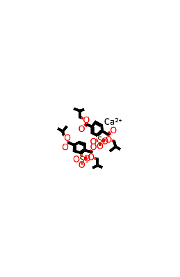 CC(C)COC(=O)c1ccc(C(=O)OCC(C)C)c(S(=O)(=O)[O-])c1.CC(C)COC(=O)c1ccc(C(=O)OCC(C)C)c(S(=O)(=O)[O-])c1.[Ca+2]